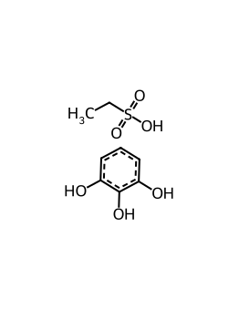 CCS(=O)(=O)O.Oc1cccc(O)c1O